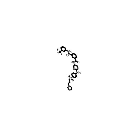 O=C(Nc1cnc(Nc2ccc(S(=O)(=O)CCCN3CCCC3)cc2)nc1)c1cccc(C(=O)Nc2cccc(C(F)(F)F)c2)c1